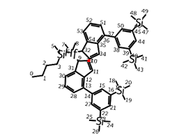 CCCC[Si](C)=[Hf]([CH3])([CH3])([CH]1C=Cc2c(-c3cc([Si](C)(C)C)cc([Si](C)(C)C)c3)cccc21)[CH]1C=Cc2c(-c3cc([Si](C)(C)C)cc([Si](C)(C)C)c3)cccc21